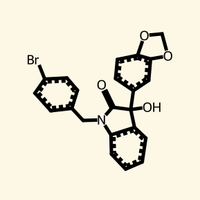 O=C1N(Cc2ccc(Br)cc2)c2ccccc2C1(O)c1ccc2c(c1)OCO2